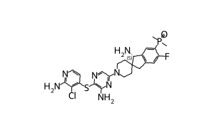 CP(C)(=O)c1cc2c(cc1F)CC1(CCN(c3cnc(Sc4ccnc(N)c4Cl)c(N)n3)CC1)[C@@H]2N